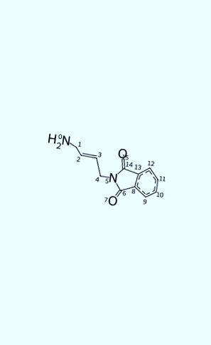 NCC=CCN1C(=O)c2ccccc2C1=O